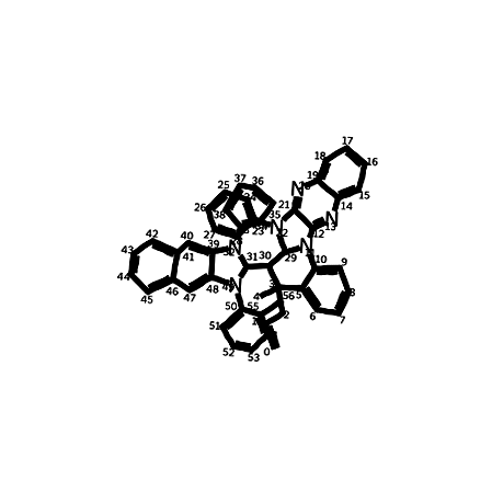 C=CCC1(C)c2ccccc2N2c3nc4ccccc4nc3N(c3ccccc3)C2C1C1N(c2ccccc2)c2cc3ccccc3cc2N1c1ccccc1C